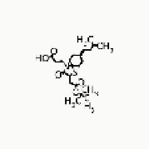 CC(C)CC=C1CCC2(CC1)SC(CC(=O)OC(C)(C)C)C(=O)N2CCC(=O)O